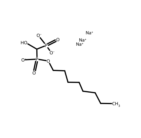 CCCCCCCCOP(=O)([O-])C(O)P(=O)([O-])[O-].[Na+].[Na+].[Na+]